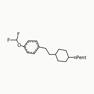 CCCCCC1CCC(CCc2ccc(OC(F)F)cc2)CC1